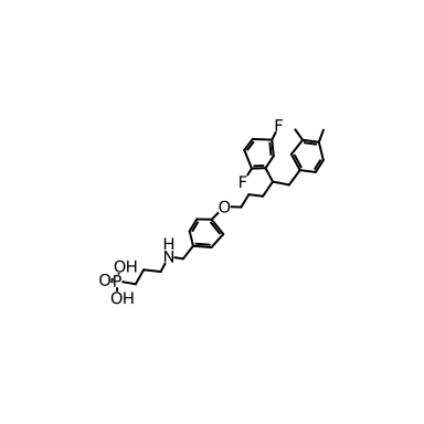 Cc1ccc(CC(CCCOc2ccc(CNCCCP(=O)(O)O)cc2)c2cc(F)ccc2F)cc1C